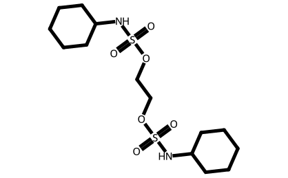 O=S(=O)(NC1CCCCC1)OCCOS(=O)(=O)NC1CCCCC1